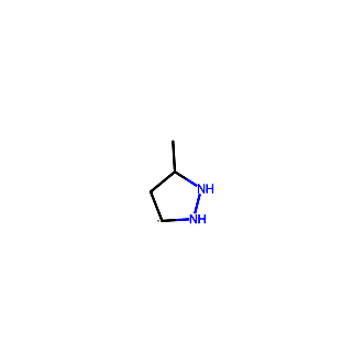 CC1C[CH]NN1